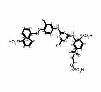 Cc1cc(Nc2nc(Cl)nc(Nc3cc(S(=O)(=O)CCOS(=O)(=O)O)ccc3S(=O)(=O)O)n2)ccc1N=Nc1cccc2c(S(=O)(=O)O)cccc12